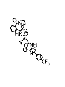 O=C(C[C@H](C(=O)N[C@@H]1C(=O)N2CCCN2C(=O)c2ccccc21)C1CC1)Nc1sc(-c2ccc(C(F)(F)F)nc2)nc1Cl